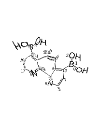 OB(O)c1ccnc2c1ccc1c(B(O)O)ccnc12